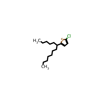 CCCCCCCC(CCCCC)c1ccc(Cl)s1